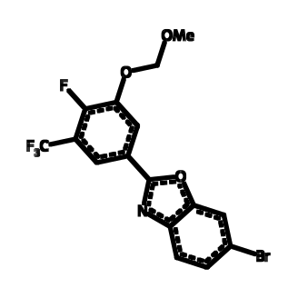 COCOc1cc(-c2nc3ccc(Br)cc3o2)cc(C(F)(F)F)c1F